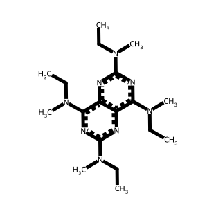 CCN(C)c1nc(N(C)CC)c2nc(N(C)CC)nc(N(C)CC)c2n1